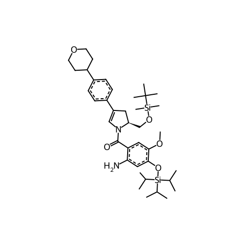 COc1cc(C(=O)N2C=C(c3ccc(C4CCOCC4)cc3)C[C@H]2CO[Si](C)(C)C(C)(C)C)c(N)cc1O[Si](C(C)C)(C(C)C)C(C)C